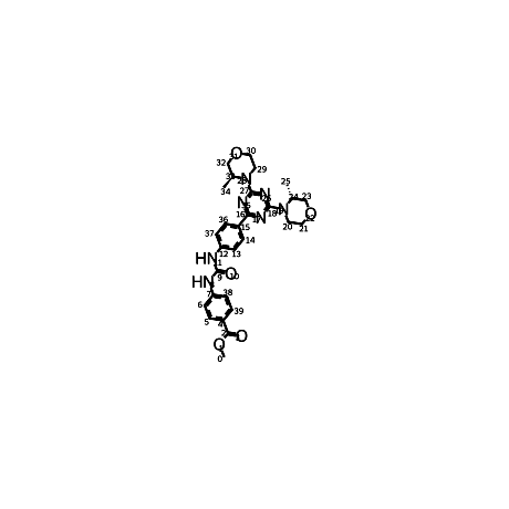 COC(=O)c1ccc(NC(=O)Nc2ccc(-c3nc(N4CCOC[C@H]4C)nc(N4CCOC[C@@H]4C)n3)cc2)cc1